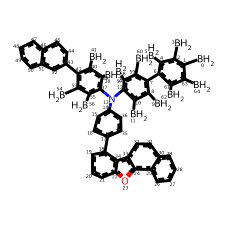 Bc1c(B)c(B)c(-c2c(B)c(B)c(N(c3ccc(-c4cccc5oc6c7ccccc7ccc6c45)cc3)c3c(B)c(B)c(-c4ccc5ccccc5c4)c(B)c3B)c(B)c2B)c(B)c1B